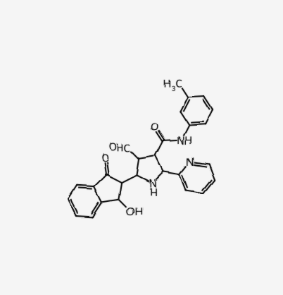 Cc1cccc(NC(=O)C2C(c3ccccn3)NC(C3C(=O)c4ccccc4C3O)C2C=O)c1